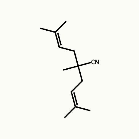 CC(C)=CCC(C)(C#N)CC=C(C)C